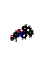 N=S(=O)(NC1CCCC(=C2c3ccccc3CCc3ccccc32)C1)c1ccc(OC(F)(F)F)cc1